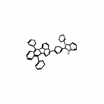 C1=CCCC(C2=c3ccccc3=C(C3=CC=CCC3)C3C4=CC=C(C5=CC=C(C6NC7C=CC=CC7N6C6=CCCCC6)CC5)C5C=CC=C(C45)C23)=C1